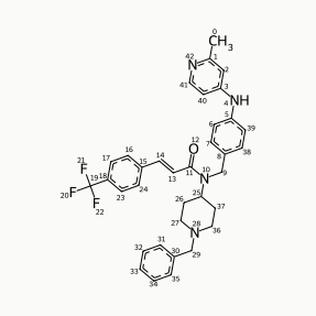 Cc1cc(Nc2ccc(CN(C(=O)/C=C/c3ccc(C(F)(F)F)cc3)C3CCN(Cc4ccccc4)CC3)cc2)ccn1